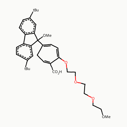 COCCOCCOCCOC1=CC=C(C2(OC)c3cc(C(C)(C)C)ccc3-c3ccc(C(C)(C)C)cc32)CC=C1C(=O)O